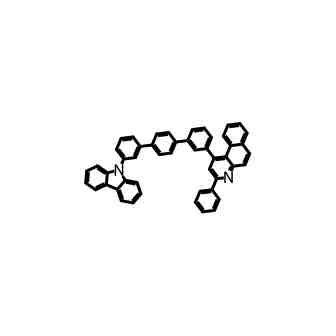 c1ccc(-c2cc(-c3cccc(-c4ccc(-c5cccc(-n6c7ccccc7c7ccccc76)c5)cc4)c3)c3c(ccc4ccccc43)n2)cc1